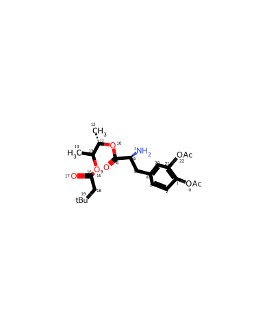 CC(=O)Oc1ccc(C[C@H](N)C(=O)O[C@@H](C)C(C)OC(=O)CC(C)(C)C)cc1OC(C)=O